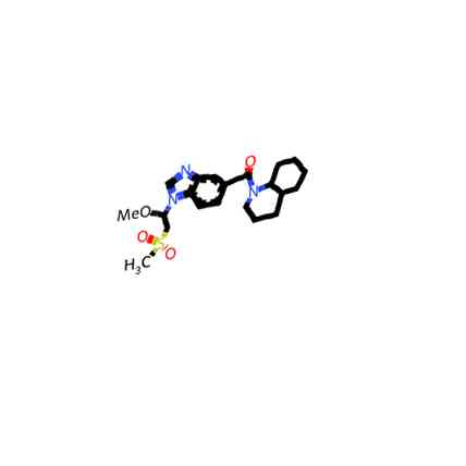 COC(CS(C)(=O)=O)n1cnc2cc(C(=O)N3CCCC4CCCCC43)ccc21